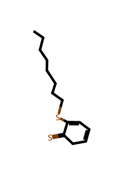 CCCCCCCCSC1=CC=CCC1=S